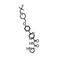 CC(C)(F)CN1CCC(COc2ccc(-c3cnc(C(=O)NC(=O)[C@@H]4CCCN4)cn3)cc2)CC1